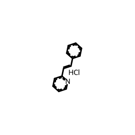 C(=Cc1ccccn1)c1ccccc1.Cl